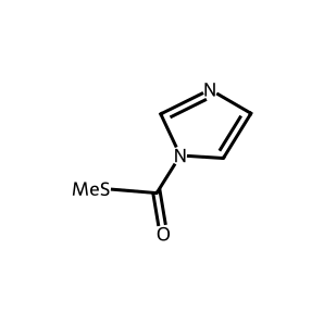 CSC(=O)n1ccnc1